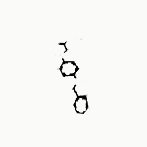 COC(=O)CNc1ccc(OCc2ccccc2)cc1